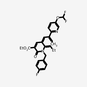 C\C=C(/C=c1/cc(C(=O)OCC)c(=O)n(Cc2ccc(F)cc2)/c1=C\CC)c1ccc(OC(F)F)cn1